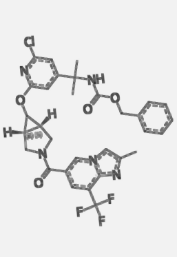 Cc1cn2cc(C(=O)N3C[C@@H]4C(Oc5cc(C(C)(C)NC(=O)OCc6ccccc6)cc(Cl)n5)[C@@H]4C3)cc(C(F)(F)F)c2n1